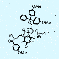 COc1ccc(C(=O)N(CCO[PH](=O)[C@]2(n3cc(C)c(=O)[nH]c3=O)C[C@H](ON(C(C)C)C(C)C)[C@@H](COC(c3ccccc3)(c3ccc(OC)cc3)c3ccc(OC)cc3)O2)C(C)C)cc1